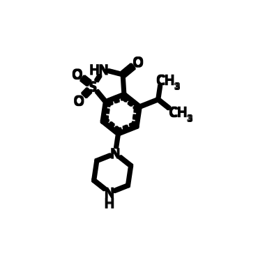 CC(C)c1cc(N2CCNCC2)cc2c1C(=O)NS2(=O)=O